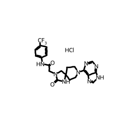 Cl.O=C(CN1CC2(CCN(c3ncnc4[nH]cnc34)CC2)NC1=O)Nc1ccc(C(F)(F)F)cc1